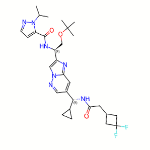 CC(C)n1nccc1C(=O)N[C@@H](COC(C)(C)C)c1cn2ncc([C@H](NC(=O)CC3CC(F)(F)C3)C3CC3)cc2n1